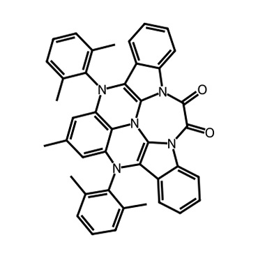 Cc1cc2c3c(c1)n(-c1c(C)cccc1C)c1c4ccccc4n4c(=O)c(=O)n5c6ccccc6c(c5n3c14)n2-c1c(C)cccc1C